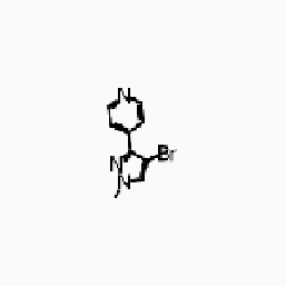 Cn1cc(Br)c(-c2ccncc2)n1